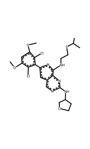 COc1cc(OC)c(Cl)c(-c2cc3cnc(NC4CCOC4)nc3c(NCCSC(C)C)n2)c1Cl